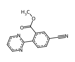 COC(=O)c1cc(C#N)ccc1-c1ncccn1